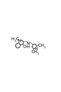 Cc1cc(CNCc2cn(C)c3ccccc3c2=O)cc(C)n1